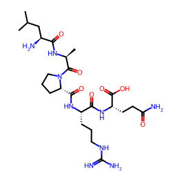 CC(C)C[C@H](N)C(=O)N[C@@H](C)C(=O)N1CCC[C@H]1C(=O)N[C@@H](CCCNC(=N)N)C(=O)N[C@@H](CCC(N)=O)C(=O)O